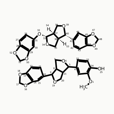 COc1cc(C2OCC3C(c4ccc5c(c4)OCO5)OCC23)ccc1O.c1cc2c(cc1O[C@H]1OC[C@H]3[C@@H]1CO[C@@H]3c1ccc3c(c1)OCO3)OCO2